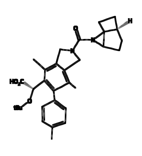 Cc1ccc(-c2c(C)c3c(c(C)c2[C@H](OC(C)(C)C)C(=O)O)CN(C(=O)N2C4CC[C@@H]5CCC452)C3)cc1